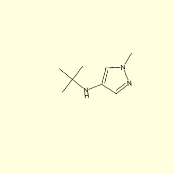 Cn1cc(NC(C)(C)C)cn1